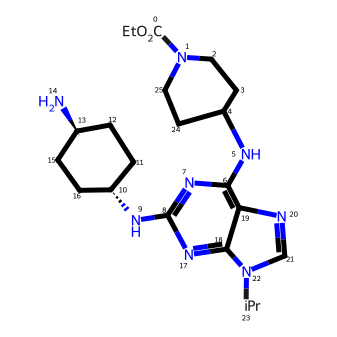 CCOC(=O)N1CCC(Nc2nc(N[C@H]3CC[C@H](N)CC3)nc3c2ncn3C(C)C)CC1